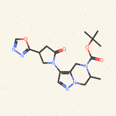 CC1Cn2ncc(N3CC(c4nnco4)CC3=O)c2CN1C(=O)OC(C)(C)C